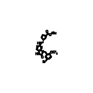 CC(C)(C)OC(=O)N1CC[C@@H](CNc2ncc3[nH]c(=O)n(Cc4cc(Br)ccc4OC(F)(F)F)c3n2)C1